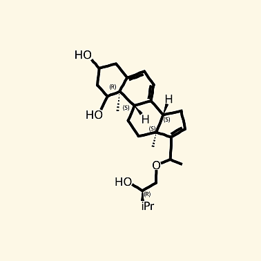 CC(OC[C@H](O)C(C)C)C1=CC[C@H]2C3=CC=C4CC(O)CC(O)[C@]4(C)[C@H]3CC[C@]12C